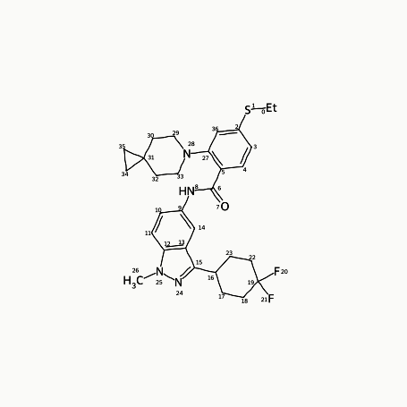 CCSc1ccc(C(=O)Nc2ccc3c(c2)c(C2CCC(F)(F)CC2)nn3C)c(N2CCC3(CC2)CC3)c1